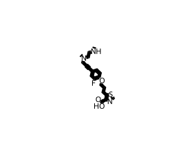 CNCCN(C)CC#Cc1ccc(OCCCc2scnc2C(=O)O)c(F)c1